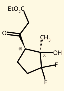 CCOC(=O)CC(=O)[C@@H]1CCC(F)(F)[C@]1(C)O